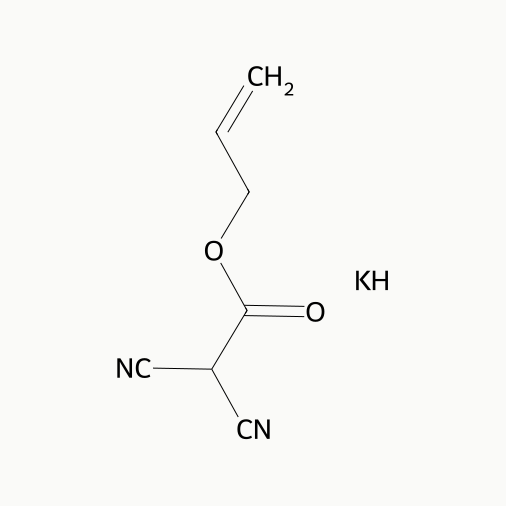 C=CCOC(=O)C(C#N)C#N.[KH]